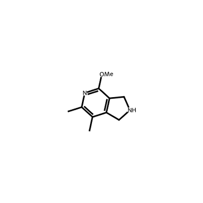 COc1nc(C)c(C)c2c1CNC2